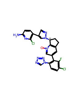 Nc1ccc(-c2cnn([C@H]3CCc4cc(-c5c(-n6cnnn6)ccc(Cl)c5F)c[n+]([O-])c43)c2)c(Cl)n1